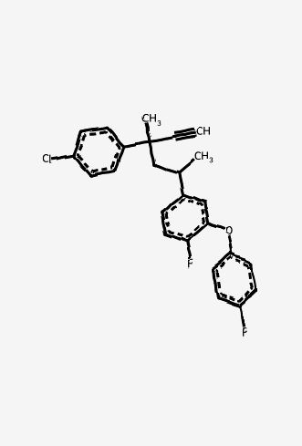 C#CC(C)(CC(C)c1ccc(F)c(Oc2ccc(F)cc2)c1)c1ccc(Cl)cc1